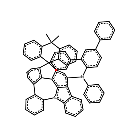 CC1(C)c2ccccc2C2(c3ccccc31)c1cccc3c1-c1c2cc(N(c2ccccc2)c2ccc(-c4ccccc4)cc2-c2ccccc2)c2c4ccccc4n(c12)-c1ccccc1-3